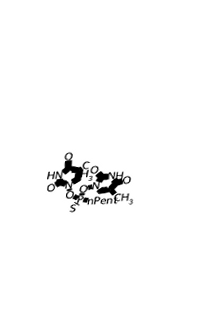 CCCCCP(=S)(On1cc(C)c(=O)[nH]c1=O)On1cc(C)c(=O)[nH]c1=O